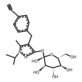 C#Cc1ccc(Cc2c(O[C@]3(O)O[C@H](CO)[C@@H](O)[C@H](O)[C@H]3O)nn(C(C)C)c2C)cc1